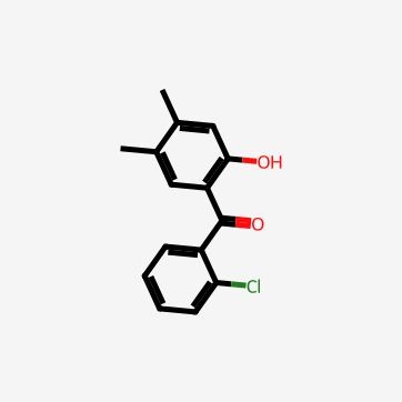 Cc1cc(O)c(C(=O)c2ccccc2Cl)cc1C